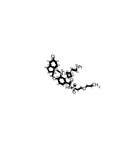 C=CCOCCS(=O)(=O)NC(=O)c1ccc2c(c1)N(C[C@H]1CC[C@@H]1/C=C/CCC)C[C@@]1(CCc3cc(Cl)ccc31)CO2